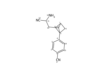 N#Cc1ccc(C23CC(C2)C3CC(N)C#N)cc1